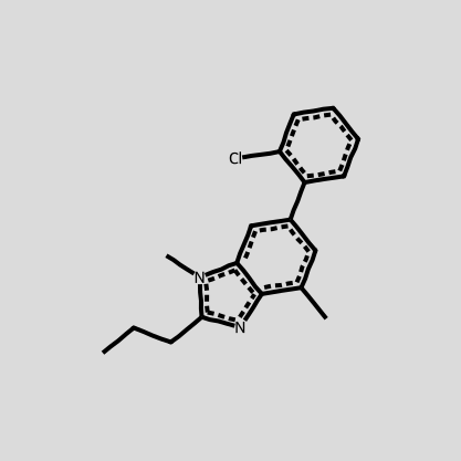 CCCc1nc2c(C)cc(-c3ccccc3Cl)cc2n1C